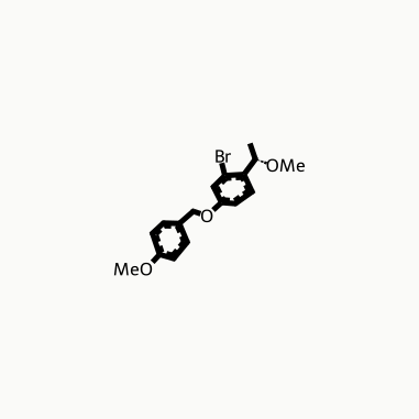 COc1ccc(COc2ccc([C@H](C)OC)c(Br)c2)cc1